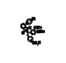 CCN1CCN(c2cccc3c2C(=O)N(C(CC2CCN(S(=O)(=O)O)CC2)c2ccc(OC)c(OC)c2)C3=O)CC1